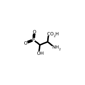 NC(C(=O)O)C(O)P(=O)=O